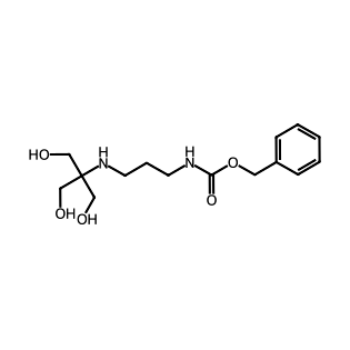 O=C(NCCCNC(CO)(CO)CO)OCc1ccccc1